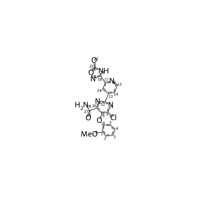 COc1ccccc1Oc1c(Cl)nc(-c2ccnc(-c3noc(=O)[nH]3)c2)nc1C(N)=O